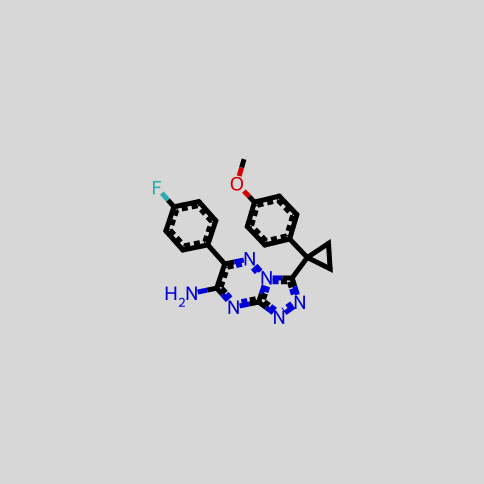 COc1ccc(C2(c3nnc4nc(N)c(-c5ccc(F)cc5)nn34)CC2)cc1